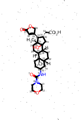 C[C@]12CC[C@H](NC(=O)N3CCOCC3)C[C@H]1CC[C@@H]1[C@@H]2CC[C@]2(C)[C@@H](C3=CC(=O)OC3)[C@H](CC(=O)O)C[C@]12O